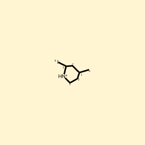 CC1CCNC(I)C1